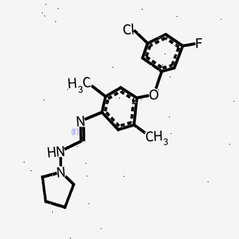 Cc1cc(Oc2cc(F)cc(Cl)c2)c(C)cc1/N=C/NN1CCCC1